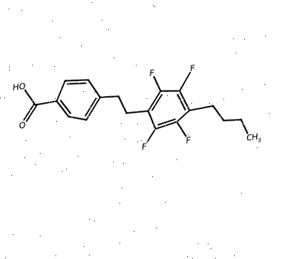 CCCCc1c(F)c(F)c(CCc2ccc(C(=O)O)cc2)c(F)c1F